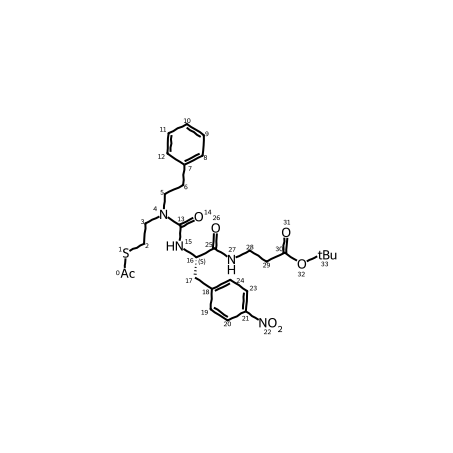 CC(=O)SCCN(CCc1ccccc1)C(=O)N[C@@H](Cc1ccc([N+](=O)[O-])cc1)C(=O)NCCC(=O)OC(C)(C)C